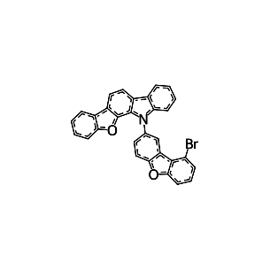 Brc1cccc2oc3ccc(-n4c5ccccc5c5ccc6c7ccccc7oc6c54)cc3c12